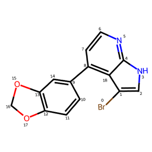 Brc1c[nH]c2nccc(-c3ccc4c(c3)OCO4)c12